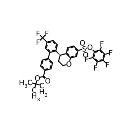 CC(C)(C)OC(=O)c1ccc(-c2cc(C(F)(F)F)ccc2[C@@H]2CCOc3cc(S(=O)(=O)Oc4c(F)c(F)c(F)c(F)c4F)ccc32)cc1